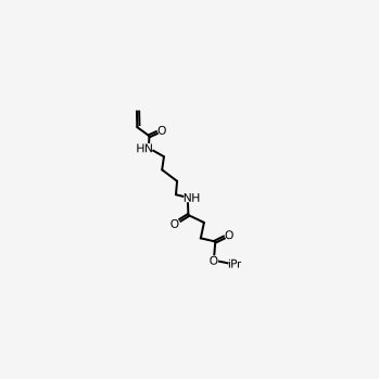 C=CC(=O)NCCCCNC(=O)CCC(=O)OC(C)C